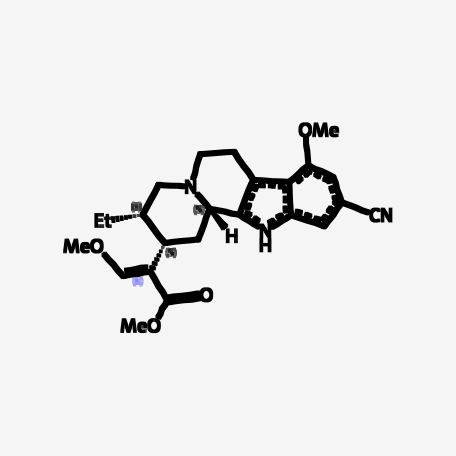 CC[C@@H]1CN2CCc3c([nH]c4cc(C#N)cc(OC)c34)[C@@H]2C[C@@H]1/C(=C\OC)C(=O)OC